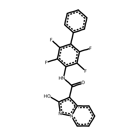 O=C(Nc1c(F)c(F)c(-c2ccccc2)c(F)c1F)c1c(O)nn2ccccc12